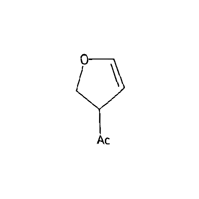 CC(=O)C1C=COC1